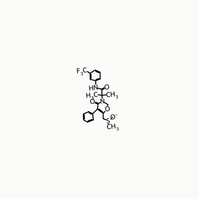 C[S+]([O-])CC1=C(c2ccccc2)C(=O)N(C(C)(C)C(=O)Nc2cccc(C(F)(F)F)c2)CO1